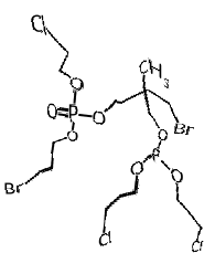 CC(CBr)(COP(OCCCl)OCCCl)COP(=O)(OCCCl)OCCBr